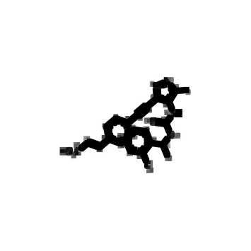 Cc1nsc(C#Cc2ccc(/C=C/C(=O)O)cc2)c1NC(=O)OC(C)c1ccccc1Cl